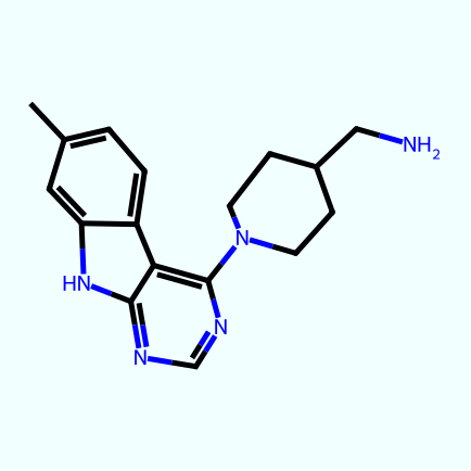 Cc1ccc2c(c1)[nH]c1ncnc(N3CCC(CN)CC3)c12